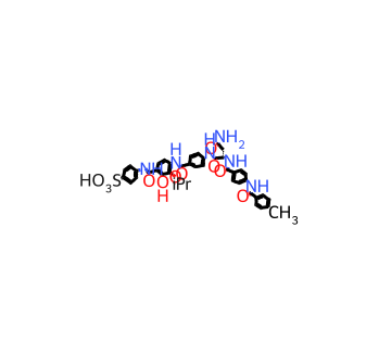 Cc1ccc(C(=O)Nc2ccc(C(=O)N[C@@H](CC(N)=O)C(=O)Nc3ccc(C(=O)Nc4ccc(C(=O)Nc5ccc(S(=O)(=O)O)cc5)c(O)c4OC(C)C)cc3)cc2)cc1